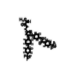 CNC(=O)CCc1cc(-c2ccc(-c3ccc(C(F)(F)F)cc3)cc2)n(-c2ccc(NC(=O)c3ccc(C(F)(F)F)nc3)cc2)n1